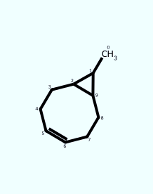 CC1C2CC/C=C\CCC12